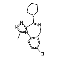 Cc1nnc2n1-c1ccc(Cl)cc1CN=C2N1CCCCC1